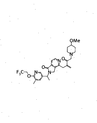 C=C(Cc1nccc2c1CN(C(C)c1cnc(OCC(F)(F)F)c(C)c1)C2=O)C(=O)CN1CCC(OC)CC1